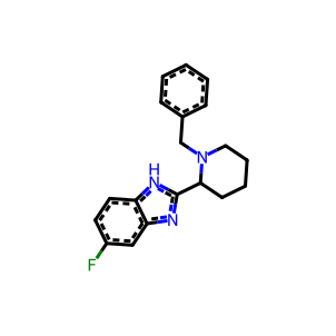 Fc1ccc2[nH]c(C3CCCCN3Cc3ccccc3)nc2c1